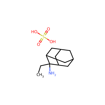 CCC1(N)C2CC3CC(C2)CC1C3.O=S(=O)(O)O